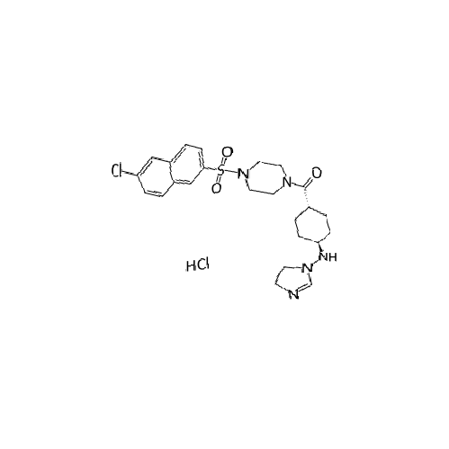 Cl.O=C([C@H]1CC[C@H](NN2C=NCC2)CC1)N1CCN(S(=O)(=O)c2ccc3cc(Cl)ccc3c2)CC1